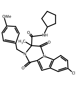 COc1ccc(CN2C(=O)c3cc4cc(Cl)ccc4n3C(=O)C2(C)C(=O)NC2CCCC2)cc1